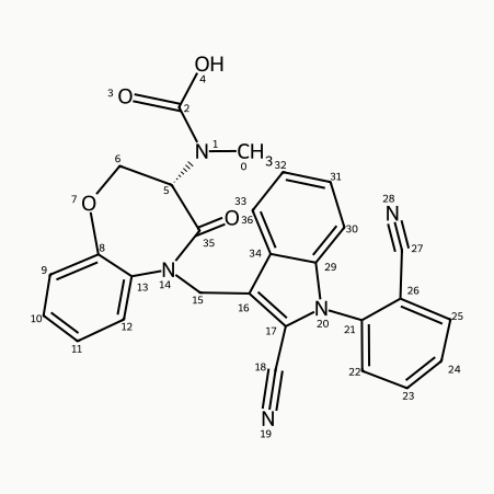 CN(C(=O)O)[C@H]1COc2ccccc2N(Cc2c(C#N)n(-c3ccccc3C#N)c3ccccc23)C1=O